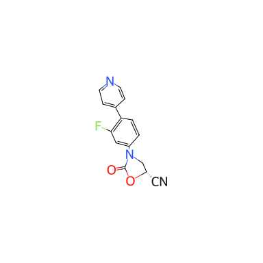 N#C[C@H]1CN(c2ccc(-c3ccncc3)c(F)c2)C(=O)O1